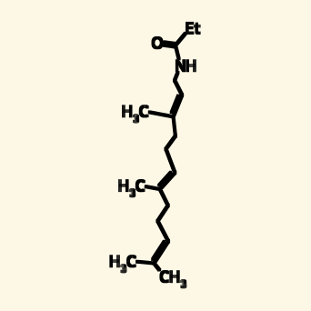 CCC(=O)NC/C=C(\C)CC/C=C(\C)CCC=C(C)C